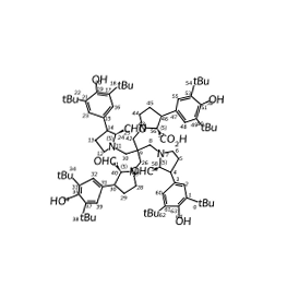 CC(C)(C)c1cc(C2CCN(CC(CN3CCC(c4cc(C(C)(C)C)c(O)c(C(C)(C)C)c4)[C@H]3C=O)(CN3CCC(c4cc(C(C)(C)C)c(O)c(C(C)(C)C)c4)[C@H]3C=O)CN3CCC(c4cc(C(C)(C)C)c(O)c(C(C)(C)C)c4)[C@H]3C(=O)O)[C@@H]2C=O)cc(C(C)(C)C)c1O